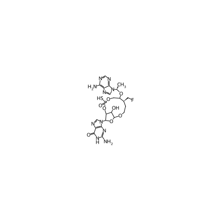 C[C@@H](OC1COP(=O)(S)OC2C(O)C(OCC[C@@H]1CF)OC2n1cnc2c(=O)[nH]c(N)nc21)n1cnc2c(N)ncnc21